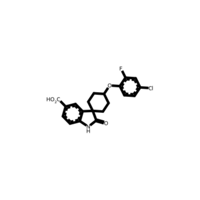 O=C(O)c1ccc2c(c1)C1(CCC(Oc3ccc(Cl)cc3F)CC1)C(=O)N2